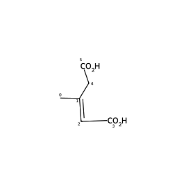 CC(=CC(=O)O)CC(=O)O